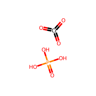 O=P(O)(O)O.[O]=[Cr](=[O])=[O]